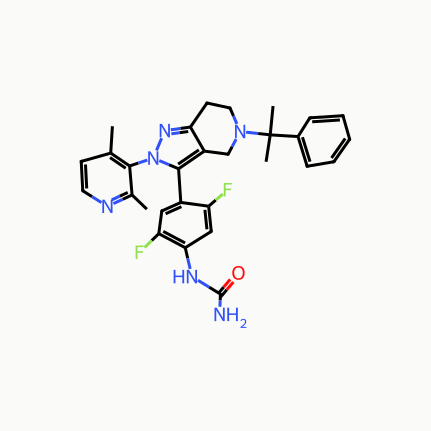 Cc1ccnc(C)c1-n1nc2c(c1-c1cc(F)c(NC(N)=O)cc1F)CN(C(C)(C)c1ccccc1)CC2